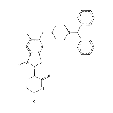 O=C1CCC(N2Cc3cc(CN4CCN(C(c5ccccc5)c5ccccc5)CC4)c(F)cc3C2=O)C(=O)N1